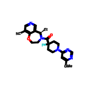 CC[C@H]1c2cncc(C#N)c2OCCN1C(=O)C1(F)CCN(c2cc(OC)ncn2)CC1